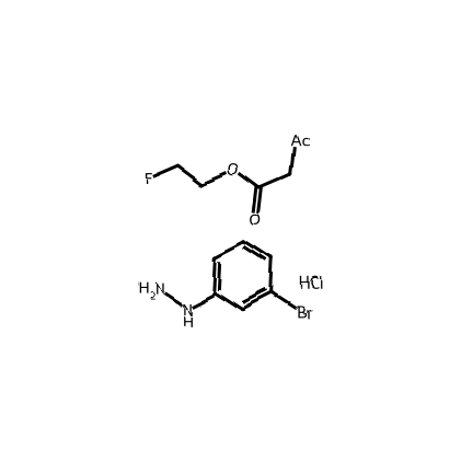 CC(=O)CC(=O)OCCF.Cl.NNc1cccc(Br)c1